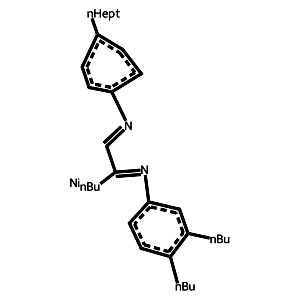 CCCCCCCc1ccc(N=CC(CCCC)=Nc2ccc(CCCC)c(CCCC)c2)cc1.[Ni]